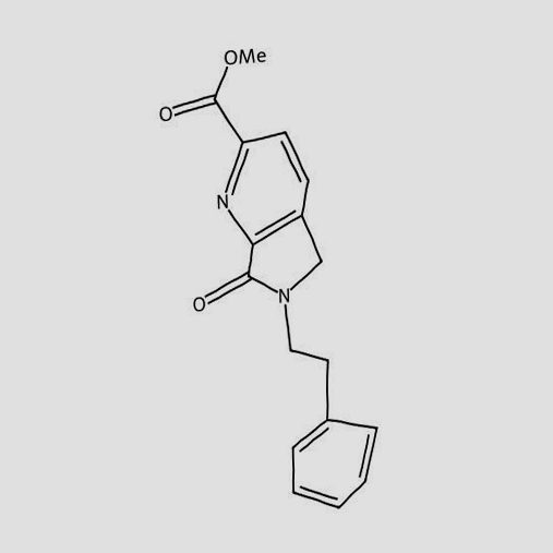 COC(=O)c1ccc2c(n1)C(=O)N(CCc1ccccc1)C2